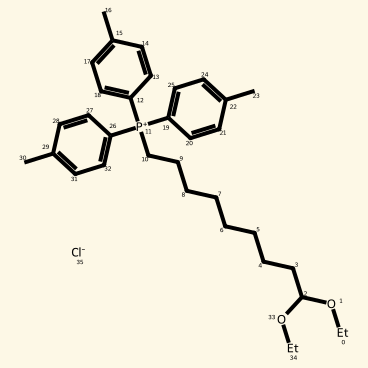 CCOC(CCCCCCCC[P+](c1ccc(C)cc1)(c1ccc(C)cc1)c1ccc(C)cc1)OCC.[Cl-]